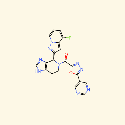 O=C(c1nnc(-c2cncnc2)o1)N1CCc2[nH]cnc2[C@H]1c1cc2c(F)cccn2n1